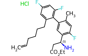 C=CCCCCc1cc(F)cc(F)c1-c1cc([C@@H](N)CC(=O)OCC)c(F)cc1C.Cl